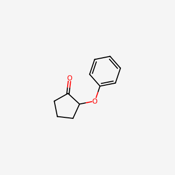 O=C1CCCC1Oc1ccccc1